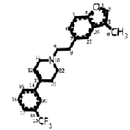 Cc1coc2ccc(CCN3CC=C(c4cccc(C(F)(F)F)c4)CC3)cc12